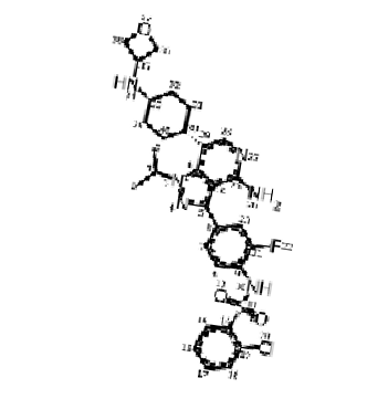 CC(C)n1nc(-c2ccc(NS(=O)(=O)c3ccccc3Cl)c(F)c2)c2c(N)ncc([C@H]3CC[C@H](NC4COC4)CC3)c21